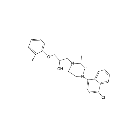 CC1[CH]N(c2ccc(Cl)c3ccccc23)CCN1CC(O)COc1ccccc1F